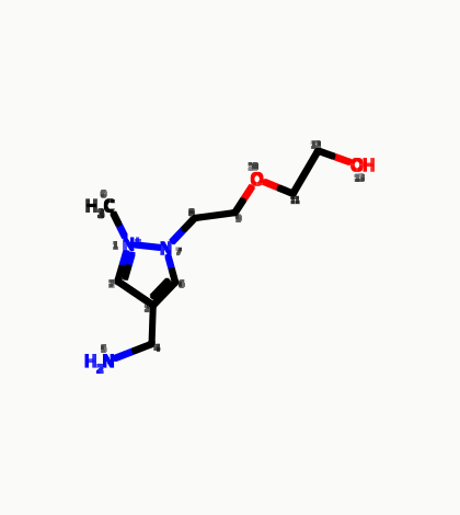 C[n+]1cc(CN)cn1CCOCCO